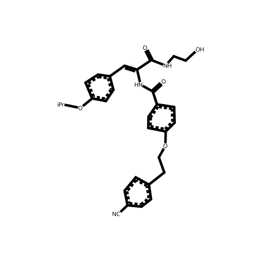 CC(C)Oc1ccc(/C=C(\NC(=O)c2ccc(OCCc3ccc(C#N)cc3)cc2)C(=O)NCCO)cc1